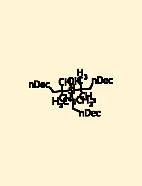 CCCCCCCCCCCC(C)(C)[Si](O)(C(C)(C)CCCCCCCCCCC)C(C)(C)CCCCCCCCCCC